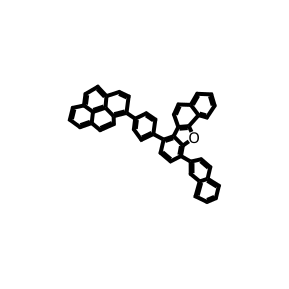 c1ccc2cc(-c3ccc(-c4ccc(-c5ccc6ccc7cccc8ccc5c6c78)cc4)c4c3oc3c5ccccc5ccc34)ccc2c1